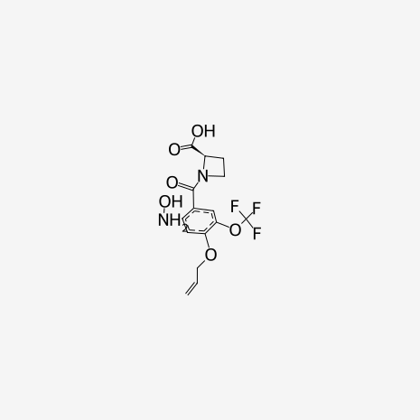 C=CCOc1ccc(C(=O)N2CC[C@@H]2C(=O)O)cc1OC(F)(F)F.NO